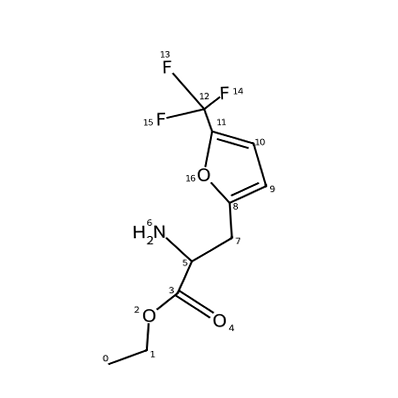 CCOC(=O)C(N)Cc1ccc(C(F)(F)F)o1